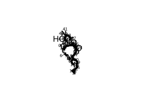 CO[C@]1(C)C[C@@H](C)CN(C)C(C2CCN(CC3CC3)CC2)COC(=O)C(C)(C)C(=O)[C@H](C)[C@H]1O[C@@H]1O[C@H](C)C[C@H](N(C)C)[C@H]1O